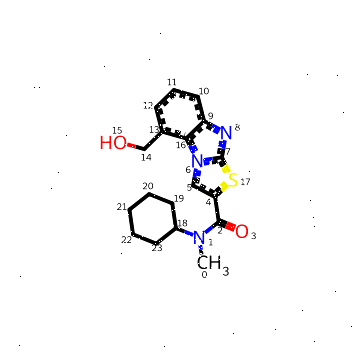 CN(C(=O)c1cn2c(nc3cccc(CO)c32)s1)C1CCCCC1